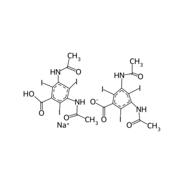 CC(=O)Nc1c(I)c(NC(C)=O)c(I)c(C(=O)O)c1I.CC(=O)Nc1c(I)c(NC(C)=O)c(I)c(C(=O)[O-])c1I.[Na+]